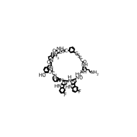 C[C@@]12CCCN1C(=O)[C@H](Cc1ccc(O)cc1)NC(=O)CN1CCCC[C@H](NC(=O)[C@H](Cc3c[nH]c4ccc(F)cc34)NC(=O)[C@H](Cc3c[nH]c4ccc(F)cc34)NC(=O)CNC(=O)[C@H](CCCCN)NC(=O)CCSCc3cccc(c3)CSC[C@@H](C(N)=O)NC2=O)C1=O